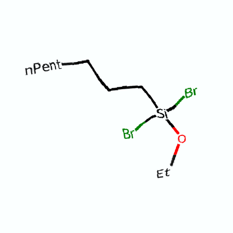 CCCCCCCC[Si](Br)(Br)OCC